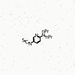 CCCN(CCC)c1ccc(N=C=S)cn1